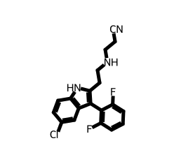 N#CCCNCCc1[nH]c2ccc(Cl)cc2c1-c1c(F)cccc1F